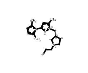 Cc1ccc(C)n1-c1cc(C(C)(C)C)n(C[C@H]2CCN(CCF)C2)n1